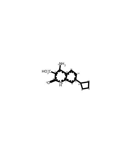 Nc1c(C(=O)O)c(=O)[nH]c2cc(C3CCC3)ccc12